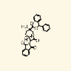 CC1(C(=O)OC(c2ccccc2)c2ccccc2)CS[C@@H]2C(N3C(=O)c4ccccc4C3=O)C(=O)N2C1